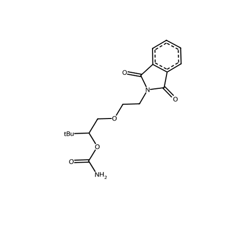 CC(C)(C)C(COCCN1C(=O)c2ccccc2C1=O)OC(N)=O